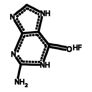 F.Nc1nc2nc[nH]c2c(=O)[nH]1